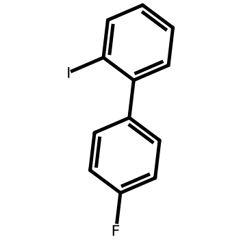 Fc1ccc(-c2ccccc2I)cc1